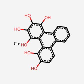 Oc1ccc2c3ccccc3c3c(O)c(O)c(O)c(O)c3c2c1O.[Cu]